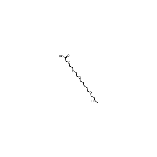 CNCCOCCOCCOCCOCCOCC(=O)O